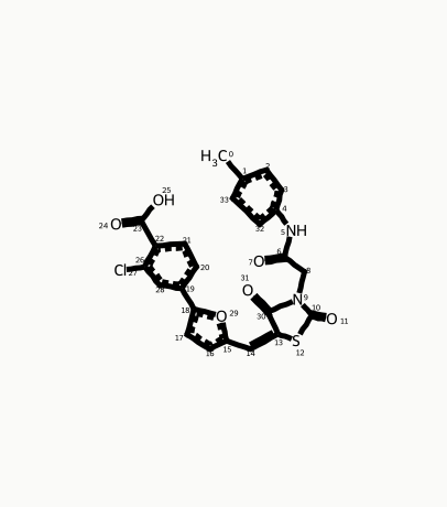 Cc1ccc(NC(=O)CN2C(=O)SC(=Cc3ccc(-c4ccc(C(=O)O)c(Cl)c4)o3)C2=O)cc1